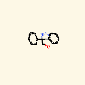 NC(C=O)(c1ccccc1)c1ccccc1